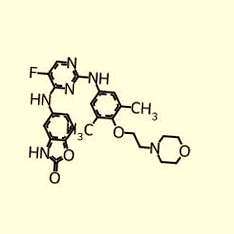 Cc1cc(Nc2ncc(F)c(Nc3ccc4oc(=O)[nH]c4c3)n2)cc(C)c1OCCN1CCOCC1